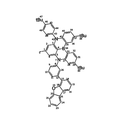 Cc1cc2c3c(c1)N(c1cccc(-c4cccc5c4oc4ccccc45)c1)c1cc(C(C)(C)C)ccc1B3c1cc(C(C)(C)C)ccc1N2c1ccc(C(C)(C)C)cc1